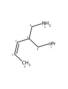 C/C=C\C(CN)CCCC